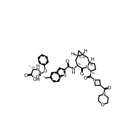 C[C@H](N[P@@](=O)(Cc1ccc2sc(C(=O)N[C@H]3C[C@@H]4C[C@@H]4C[C@H]4CC[C@@H](C(=O)N5CC(C(=O)N6CCOCC6)C5)N4C3=O)cc2c1)Oc1ccccc1)C(=O)O